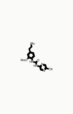 COc1cc(C[CH]C(C)(C)C)ccc1NC(=O)Nc1cnc(C#N)cn1